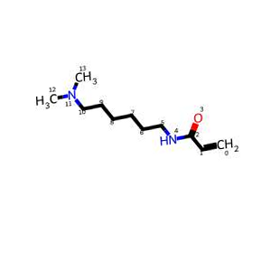 C=CC(=O)NCCCCCCN(C)C